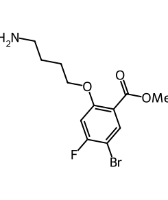 COC(=O)c1cc(Br)c(F)cc1OCCCCN